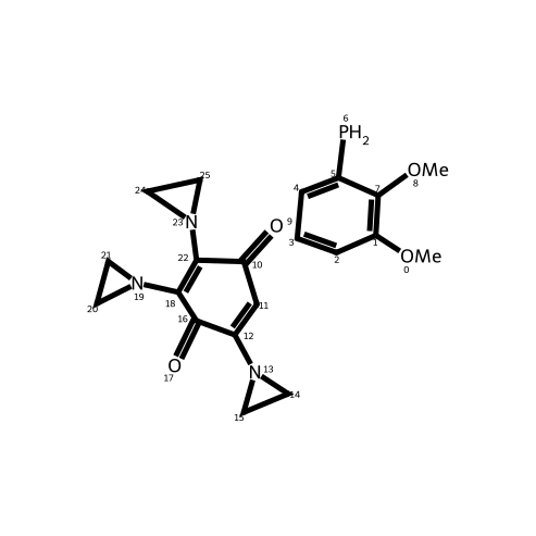 COc1cccc(P)c1OC.O=C1C=C(N2CC2)C(=O)C(N2CC2)=C1N1CC1